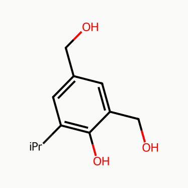 CC(C)c1cc(CO)cc(CO)c1O